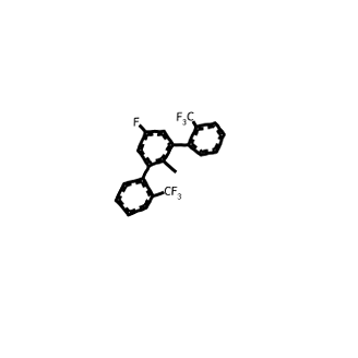 Cc1c(-c2ccccc2C(F)(F)F)cc(F)cc1-c1ccccc1C(F)(F)F